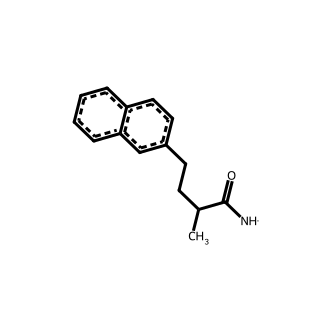 CC(CCc1ccc2ccccc2c1)C([NH])=O